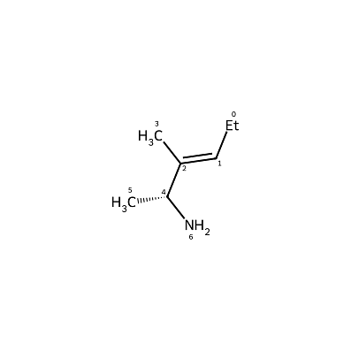 CC/C=C(\C)[C@@H](C)N